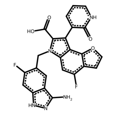 Nc1n[nH]c2cc(F)c(Cn3c(C(=O)O)c(-c4ccc[nH]c4=O)c4c5occc5c(F)cc43)cc12